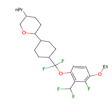 CCCC1CCC(C2CCC(C(F)(F)Oc3ccc(OCC)c(F)c3C(F)F)CC2)OC1